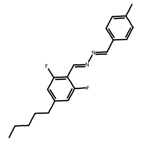 CCCCCc1cc(F)c(C=NN=Cc2ccc(C)cc2)c(F)c1